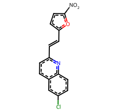 O=[N+]([O-])c1ccc(C=Cc2ccc3cc(Cl)ccc3n2)o1